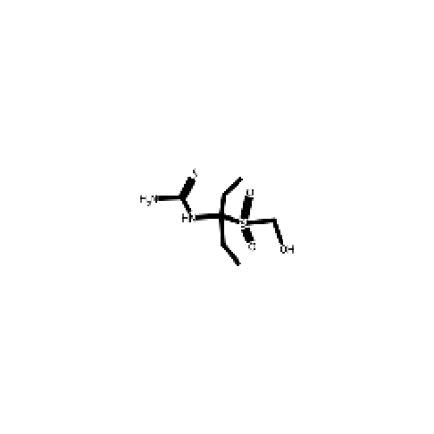 CCC(CC)(NC(N)=S)S(=O)(=O)CO